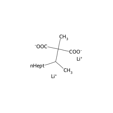 CCCCCCCC(C)C(C)(C(=O)[O-])C(=O)[O-].[Li+].[Li+]